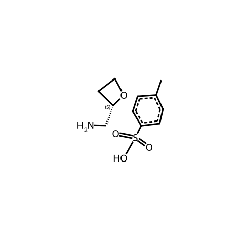 Cc1ccc(S(=O)(=O)O)cc1.NC[C@@H]1CCO1